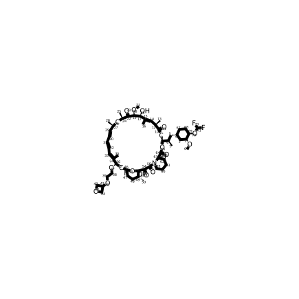 CO[C@@H]1C[C@H](C[C@@H](C)[C@@H]2CC(=O)[C@H](C)/C=C(\C)[C@@H](O)[C@@H](OC)C(=O)[C@H](C)C[C@H](C)/C=C/C=C/C=C(\C)[C@@H](OCCOC3COC3)C[C@@H]3CC[C@@H](C)[C@@](O)(O3)C(=O)C(=O)N3CCCC[C@H]3C(=O)O2)CC[C@H]1OC(F)F